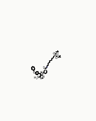 CC(C)(C)OC(=O)N(CCCCCCCC/C=C/C(=O)N1CCC[C@@H](n2nc(-c3ccc(Oc4ccccc4)cc3)c3c(N)ncnc32)C1)C(=O)OC(C)(C)C